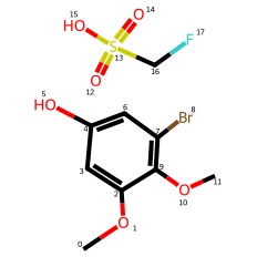 COc1cc(O)cc(Br)c1OC.O=S(=O)(O)CF